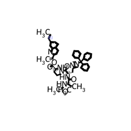 C/C=C/c1ccc2ccc([C@@H](C)OC(=O)[C@@H]3CCCN(C(=O)[C@H](Cc4cn(C(c5ccccc5)(c5ccccc5)c5ccccc5)cn4)NC(=O)[C@@H](NC(C)=O)C(C)C)N3)nc2c1